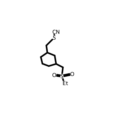 CCS(=O)(=O)CC1CCCC(CSC#N)C1